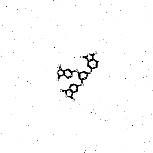 O=C1OC(=O)c2cc(Oc3cc(Oc4ccc5c(c4)C(=O)OC5=O)cc(Oc4ccc5c(c4)C(=O)OC5=O)c3)ccc21